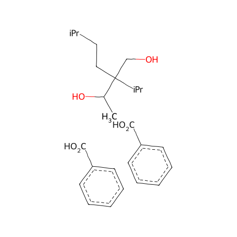 CC(C)CCC(CO)(C(C)C)C(C)O.O=C(O)c1ccccc1.O=C(O)c1ccccc1